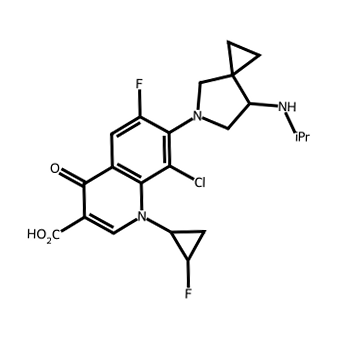 CC(C)NC1CN(c2c(F)cc3c(=O)c(C(=O)O)cn(C4CC4F)c3c2Cl)CC12CC2